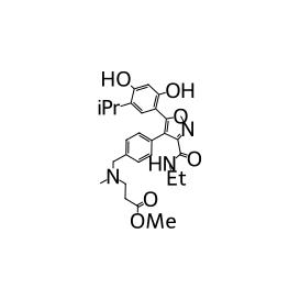 CCNC(=O)c1noc(-c2cc(C(C)C)c(O)cc2O)c1-c1ccc(CN(C)CCC(=O)OC)cc1